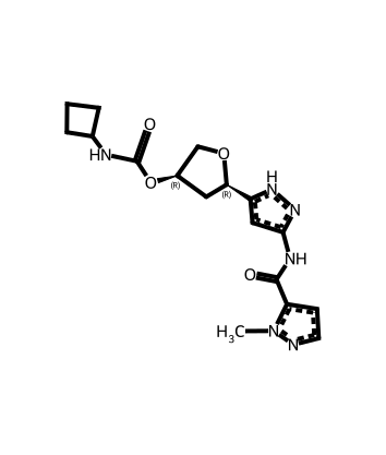 Cn1nccc1C(=O)Nc1cc([C@H]2C[C@@H](OC(=O)NC3CCC3)CO2)[nH]n1